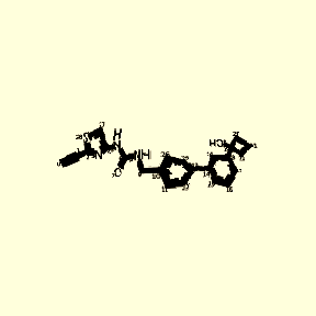 C#Cc1nc(NC(=O)NCc2ccc(-c3cccc(C4(O)CCC4)c3)cc2)cs1